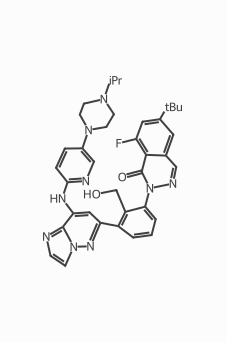 CC(C)N1CCN(c2ccc(Nc3cc(-c4cccc(-n5ncc6cc(C(C)(C)C)cc(F)c6c5=O)c4CO)nn4ccnc34)nc2)CC1